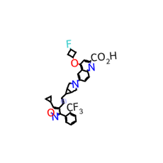 O=C(O)c1cc(O[C@H]2C[C@H](F)C2)c2cc(N3CC4C(/C=C/c5c(-c6ccccc6C(F)(F)F)noc5C5CC5)C4C3)ccc2n1